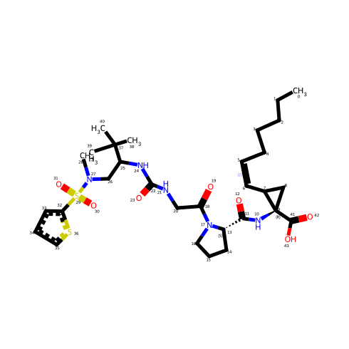 CCCCC/C=C\C1C[C@]1(NC(=O)[C@@H]1CCCN1C(=O)CNC(=O)NC(CN(C)S(=O)(=O)c1cccs1)C(C)(C)C)C(=O)O